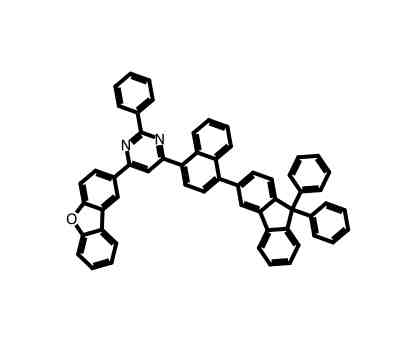 c1ccc(-c2nc(-c3ccc4oc5ccccc5c4c3)cc(-c3ccc(-c4ccc5c(c4)-c4ccccc4C5(c4ccccc4)c4ccccc4)c4ccccc34)n2)cc1